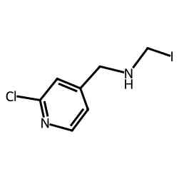 Clc1cc(CNCI)ccn1